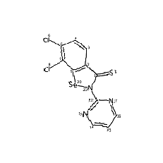 S=c1c2ccc(Cl)c(Cl)c2[se]n1-c1ncccn1